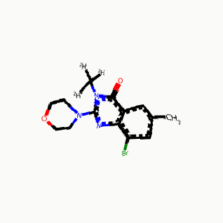 [2H]C([2H])([2H])n1c(N2CCOCC2)nc2c(Br)cc(C)cc2c1=O